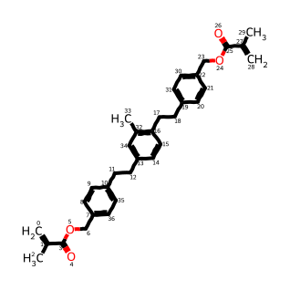 C=C(C)C(=O)OCc1ccc(CCc2ccc(CCc3ccc(COC(=O)C(=C)C)cc3)c(C)c2)cc1